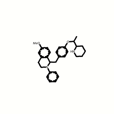 COc1ccc2c(c1)CCN(c1ccccc1)C2Cc1ccc(OC(C)C2CCCCN2)cc1